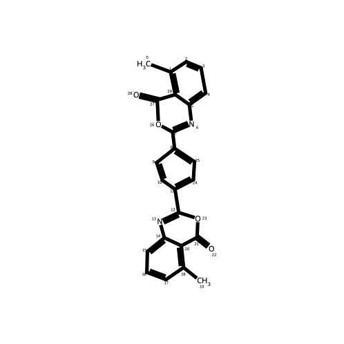 Cc1cccc2nc(-c3ccc(-c4nc5cccc(C)c5c(=O)o4)cc3)oc(=O)c12